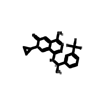 Cc1nnc(N[C@H](C)c2cccc(C(F)(F)F)c2)c2cn(C3CC3)c(=O)cc12